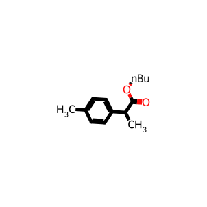 CCCCOC(=O)C(C)c1ccc(C)cc1